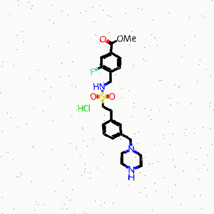 COC(=O)c1ccc(CNS(=O)(=O)CCc2cccc(CN3CCNCC3)c2)c(F)c1.Cl